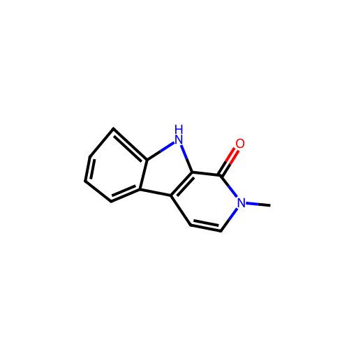 Cn1ccc2c([nH]c3ccccc32)c1=O